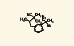 CCC(C)(C)c1cccc(CC(C)C(C)(C)C#N)c1